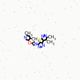 Cc1cc(C)c(OC2CN(c3ncnc4c3sc3nnc(C)c(C)c34)C2)cn1